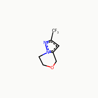 FC(F)(F)c1cc2n(n1)CCOC2